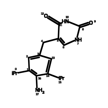 CC(C)c1cc(Cc2c[nH]c(=O)[nH]c2=O)cc(C(C)C)c1N